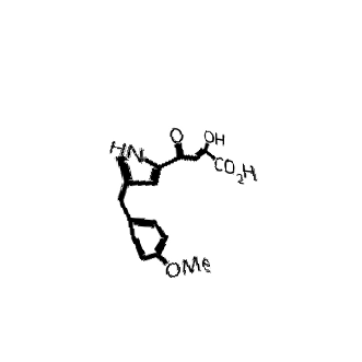 COc1ccc(Cc2c[nH]c(C(=O)C=C(O)C(=O)O)c2)cc1